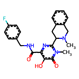 CN1Cc2ccccc2CC1c1nc(C(=O)NCc2ccc(F)cc2)c(O)c(=O)n1C